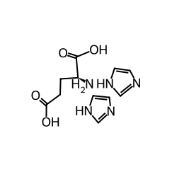 N[C@@H](CCC(=O)O)C(=O)O.c1c[nH]cn1.c1c[nH]cn1